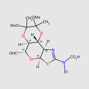 CCN(C(=O)O)C1=N[C@@H]2[C@H]3OC(C)(OC)C(C)(OC)O[C@@H]3[C@@H](C=O)O[C@@H]2S1